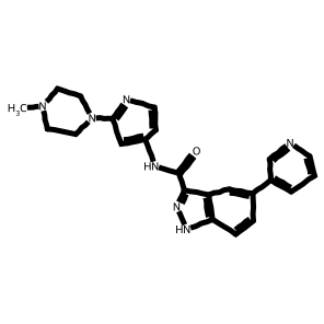 CN1CCN(c2cc(NC(=O)c3n[nH]c4ccc(-c5cccnc5)cc34)ccn2)CC1